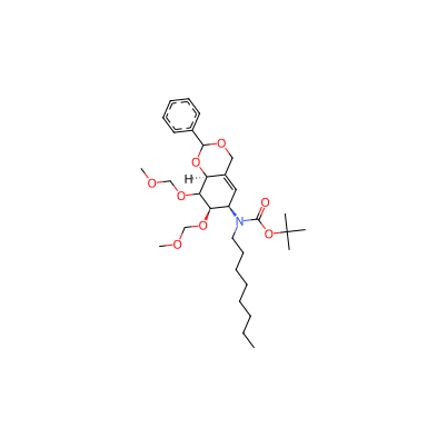 CCCCCCCCN(C(=O)OC(C)(C)C)[C@@H]1C=C2COC(c3ccccc3)O[C@@H]2C(OCOC)[C@@H]1OCOC